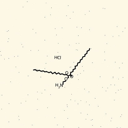 CCCCCCCCCCCCCCCCCC(=O)C(COCCCN)C(=O)CCCCCCCCCCCCCCCCC.Cl